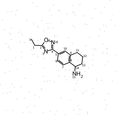 CCc1nc(-c2ccc3c(c2)CCCC3N)no1